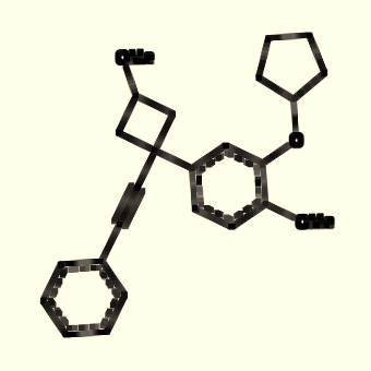 COc1ccc(C2(C#Cc3ccccc3)CC(OC)C2)cc1OC1CCCC1